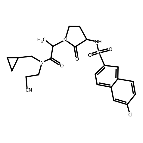 CC(C(=O)N(CCC#N)CC1CC1)N1CCC(NS(=O)(=O)c2ccc3cc(Cl)ccc3c2)C1=O